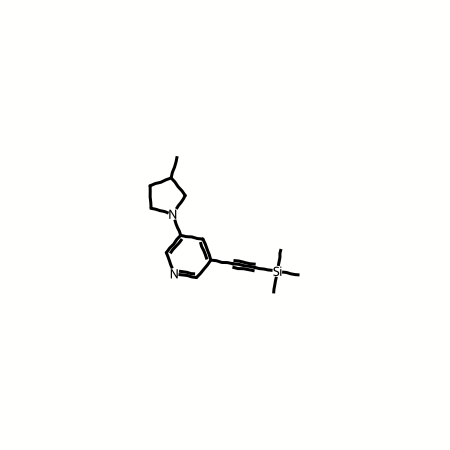 CC1CCN(c2cncc(C#C[Si](C)(C)C)c2)C1